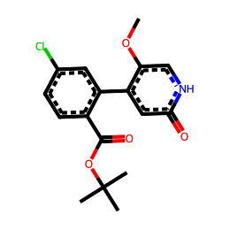 COc1c[nH]c(=O)cc1-c1cc(Cl)ccc1C(=O)OC(C)(C)C